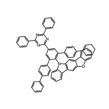 C1=CC(c2ccc(-c3cc(-c4nc(-c5ccccc5)nc(-c5ccccc5)n4)cc(-c4ccc(-c5ccccc5)cc4)c3-n3c4ccccc4c4cc5oc6ccccc6c5cc43)cc2)=CCC1